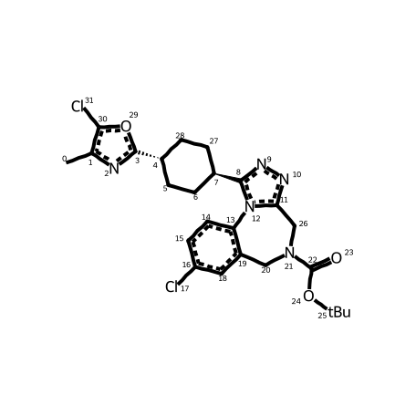 Cc1nc([C@H]2CC[C@H](c3nnc4n3-c3ccc(Cl)cc3CN(C(=O)OC(C)(C)C)C4)CC2)oc1Cl